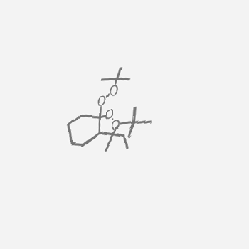 CCC(C)(C)C1CCCCC1(OOC(C)(C)C)OOC(C)(C)C